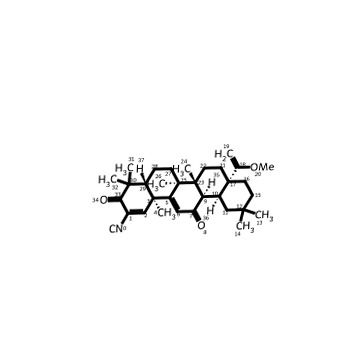 [C-]#[N+]C1=C[C@]2(C)C3=CC(=O)[C@@H]4[C@@H]5CC(C)(C)CC[C@]5(C(=C)OC)CC[C@@]4(C)[C@]3(C)CC[C@H]2C(C)(C)C1=O